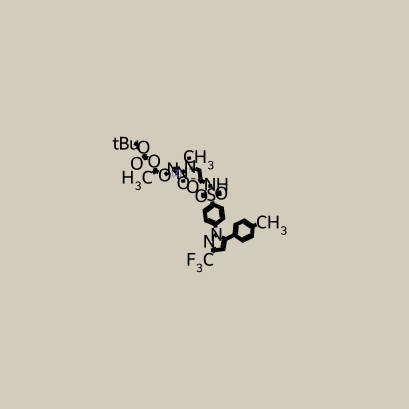 Cc1ccc(-c2cc(C(F)(F)F)nn2-c2ccc(S(=O)(=O)NC(=O)CN(C)/[N+]([O-])=N/OC(C)OC(=O)OC(C)(C)C)cc2)cc1